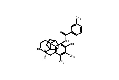 Cc1cccc(C(=O)NC2CCC34CCC2C32CCN[C@@H]4Cc3c2cc(O)c(C)c3C)c1